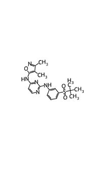 Cc1noc(Nc2ccnc(Nc3cccc(S(=O)(=O)C(C)(C)C)c3)n2)c1C